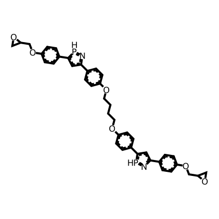 c1cc(-c2cc(-c3ccc(OCC4CO4)cc3)[pH]n2)ccc1OCCCCOc1ccc(-c2cc(-c3ccc(OCC4CO4)cc3)n[pH]2)cc1